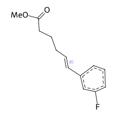 COC(=O)CCC/C=C/c1cccc(F)c1